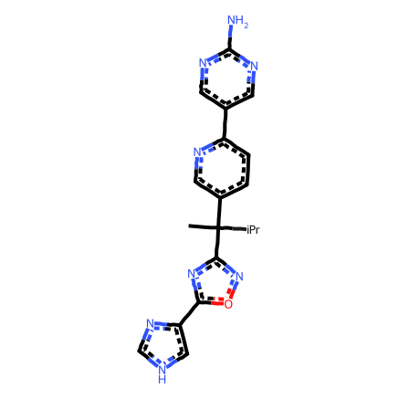 CC(C)C(C)(c1ccc(-c2cnc(N)nc2)nc1)c1noc(-c2c[nH]cn2)n1